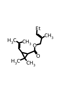 CCC=C(C)COC(=O)C1C(C=C(C)C)C1(C)C